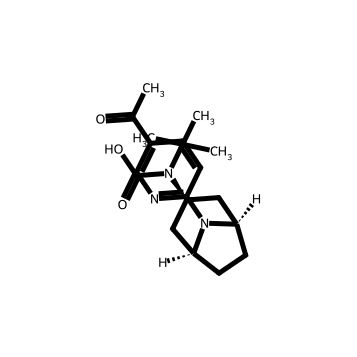 CC(=O)c1ccc(N2[C@@H]3CC[C@H]2C[C@@H](N(C(=O)O)C(C)(C)C)C3)nc1